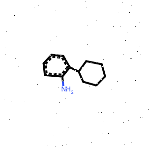 Nc1ccccc1[C]1CCCCC1